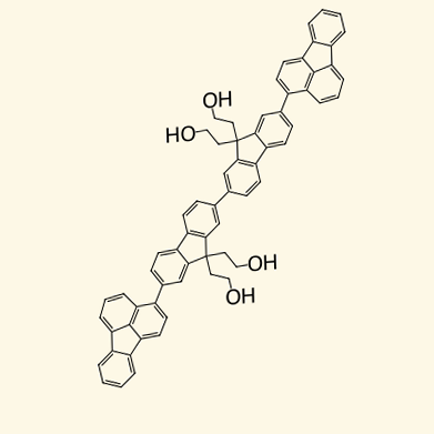 OCCC1(CCO)c2cc(-c3ccc4c(c3)C(CCO)(CCO)c3cc(-c5ccc6c7c(cccc57)-c5ccccc5-6)ccc3-4)ccc2-c2ccc(-c3ccc4c5c(cccc35)-c3ccccc3-4)cc21